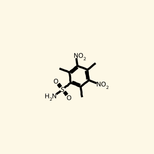 Cc1c([N+](=O)[O-])c(C)c(S(N)(=O)=O)c(C)c1[N+](=O)[O-]